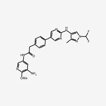 COc1ncc(NC(=O)Cc2ccc(-c3cnc(Nc4cn(C(F)F)nc4C)nc3)cc2)cc1N